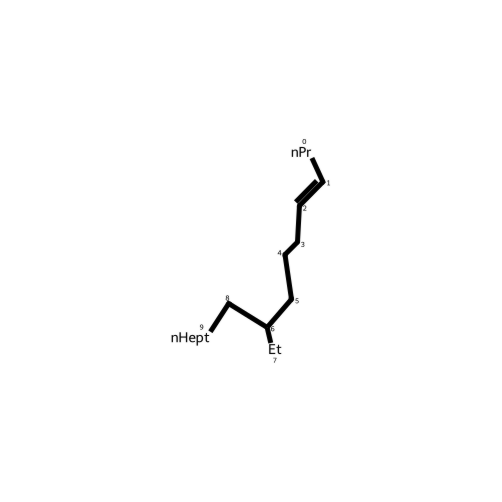 [CH2]CCC=CCCCC(CC)CCCCCCC[CH2]